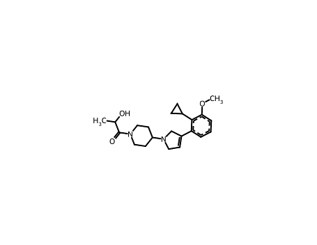 COc1cccc(C2=CCN(C3CCN(C(=O)C(C)O)CC3)C2)c1C1CC1